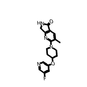 Cc1cc2c(nc1N1CCC(Oc3cncc(F)c3)CC1)CNC2=O